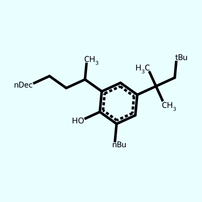 CCCCCCCCCCCCC(C)c1cc(C(C)(C)CC(C)(C)C)cc(CCCC)c1O